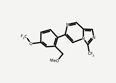 COCc1cc(OC(F)(F)F)ccc1-c1cn2c(C(F)(F)F)ncc2cn1